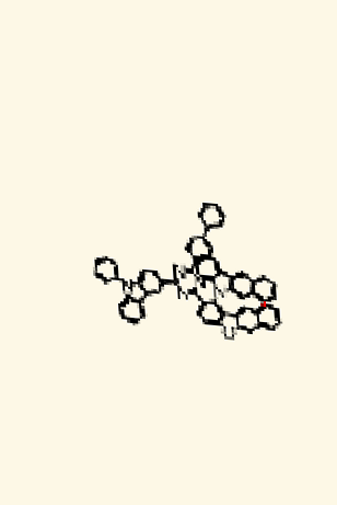 c1ccc(-c2ccc(-c3nc(-c4ccc5c(c4)c4ccccc4n5-c4ccccc4)nc(-c4ccc5oc6cc7ccccc7cc6c5c4-n4c5ccccc5c5cc6ccccc6cc54)n3)cc2)cc1